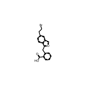 O=C(O)c1ccccc1Cc1occ2cc(CCBr)ccc12